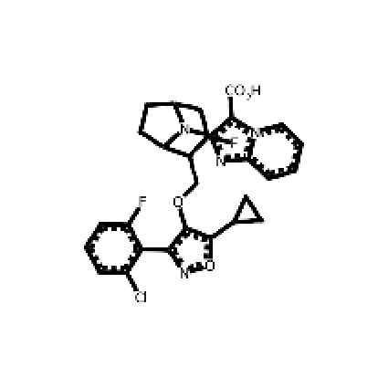 O=C(O)c1c(N2C3CCC2C(COc2c(-c4c(F)cccc4Cl)noc2C2CC2)C(F)C3)nc2ccccn12